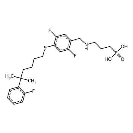 CC(C)(CCCCSc1cc(F)c(CNCCCP(=O)(O)O)cc1F)c1ccccc1F